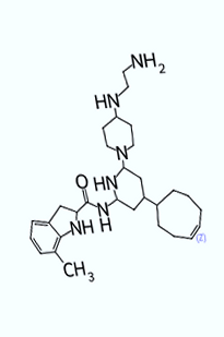 Cc1cccc2c1NC(C(=O)NC1CC(C3CC/C=C\CCC3)CC(N3CCC(NCCN)CC3)N1)C2